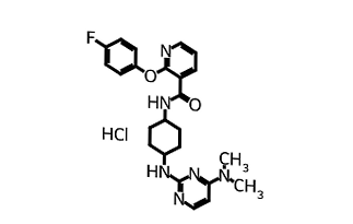 CN(C)c1ccnc(NC2CCC(NC(=O)c3cccnc3Oc3ccc(F)cc3)CC2)n1.Cl